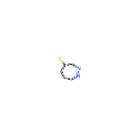 S=c1cccnnc1